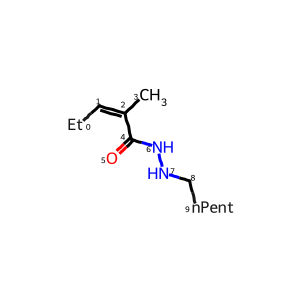 CCC=C(C)C(=O)NNCCCCCC